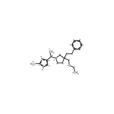 CCOCC1(CCc2ccccc2)CCN(C(C)c2csc(C)n2)C1